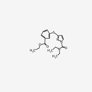 CCOC(=O)c1cccc(Sc2ccn(C(=O)N(CC)CC)n2)c1